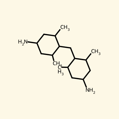 CC1CC(N)CC(C)C1CC1C(C)CC(N)CC1C